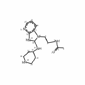 CC(=O)NCCN1c2cccnc2NC1NC1CCNCC1